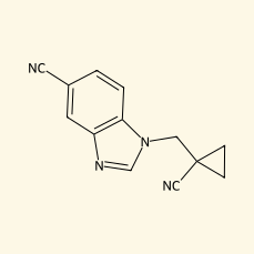 N#Cc1ccc2c(c1)ncn2CC1(C#N)CC1